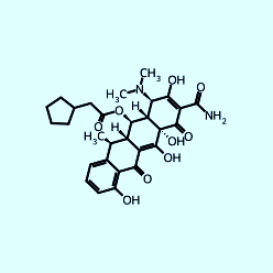 C[C@@H]1c2cccc(O)c2C(=O)C2=C(O)[C@]3(O)C(=O)C(C(N)=O)=C(O)[C@H](N(C)C)[C@H]3[C@H](OC(=O)CC3CCCC3)[C@H]21